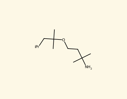 CC(C)CC(C)(C)OCCC(C)(C)N